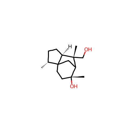 C[C@@H]1CC[C@@H]2C13CC[C@@](C)(O)C(C3)[C@@]2(C)CO